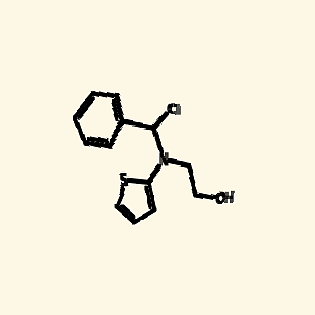 OCCN(c1cccs1)C(Cl)c1ccccc1